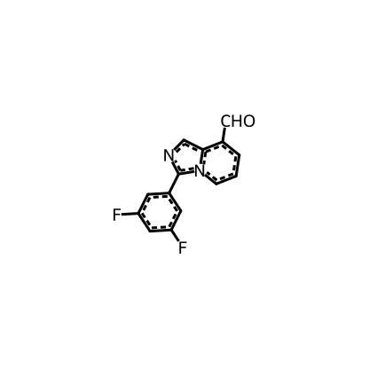 O=Cc1cccn2c(-c3cc(F)cc(F)c3)ncc12